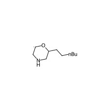 CCCCCCC1CNC[CH]O1